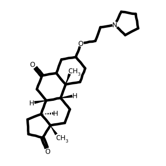 C[C@]12CCC(OCCN3CCCC3)CC1C(=O)C[C@@H]1[C@H]2CC[C@]2(C)C(=O)CC[C@@H]12